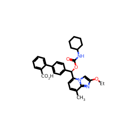 CCOc1cn2c([C@H](OC(=O)NC3CCCCC3)c3ccc(-c4ccccc4C(=O)O)cc3)ccc(C)c2n1